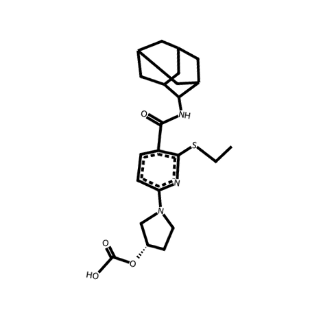 CCSc1nc(N2CC[C@H](OC(=O)O)C2)ccc1C(=O)NC1C2CC3CC(C2)CC1C3